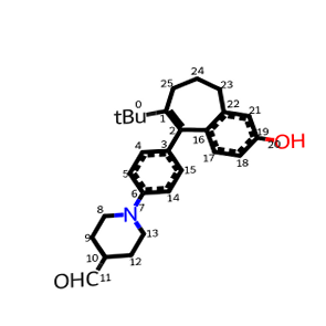 CC(C)(C)C1=C(c2ccc(N3CCC(C=O)CC3)cc2)c2ccc(O)cc2CCC1